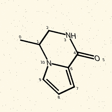 CC1CNC(=O)c2cccn21